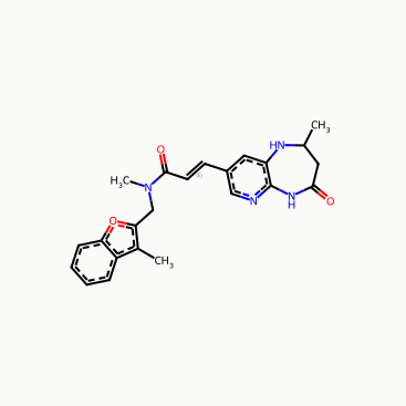 Cc1c(CN(C)C(=O)/C=C/c2cnc3c(c2)NC(C)CC(=O)N3)oc2ccccc12